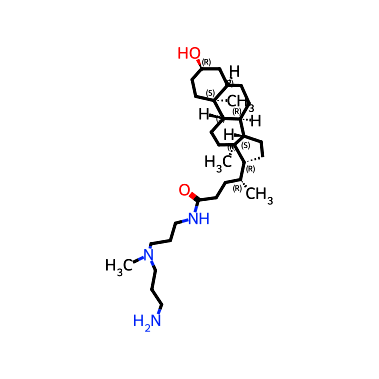 C[C@H](CCC(=O)NCCCN(C)CCCN)[C@H]1CC[C@H]2[C@@H]3CC[C@@H]4C[C@H](O)CC[C@]4(C)[C@H]3CC[C@]12C